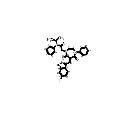 CC(C)N(C(=O)CN1C=CN(c2ccccc2)C(=O)C(=Cc2n[nH]c3cc(F)ccc23)C1=O)c1ccccc1